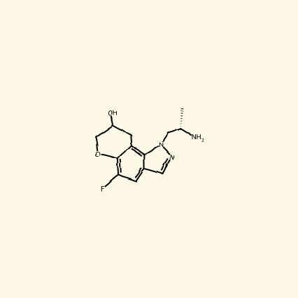 C[C@H](N)Cn1ncc2cc(F)c3c(c21)CC(O)CO3